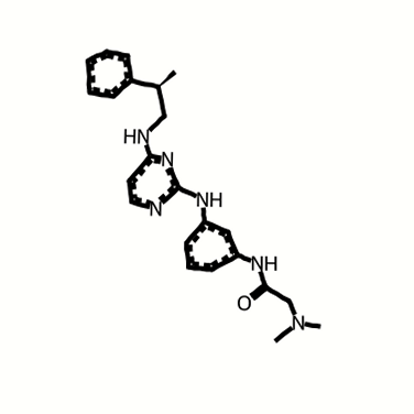 C[C@@H](CNc1ccnc(Nc2cccc(NC(=O)CN(C)C)c2)n1)c1ccccc1